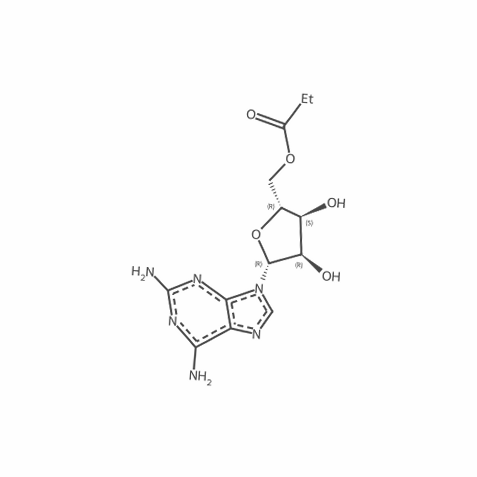 CCC(=O)OC[C@H]1O[C@@H](n2cnc3c(N)nc(N)nc32)[C@H](O)[C@@H]1O